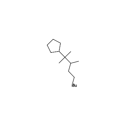 CCC(C)CCC(C)C(C)(C)C1CCCC1